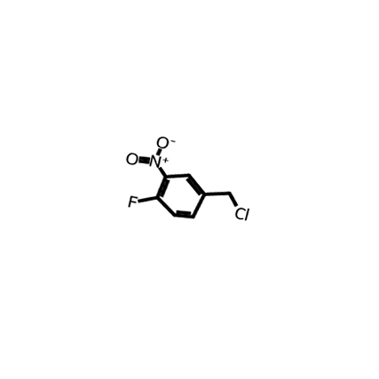 O=[N+]([O-])c1cc(CCl)ccc1F